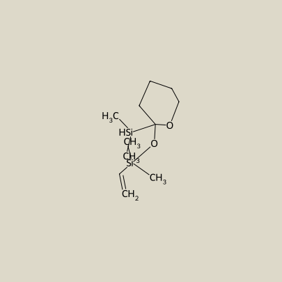 C=C[Si](C)(C)OC1([SiH](C)C)CCCCO1